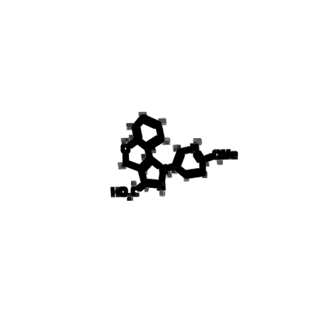 COc1ccc(-n2nc(C(=O)O)c3c2-c2ccccc2OC3)cn1